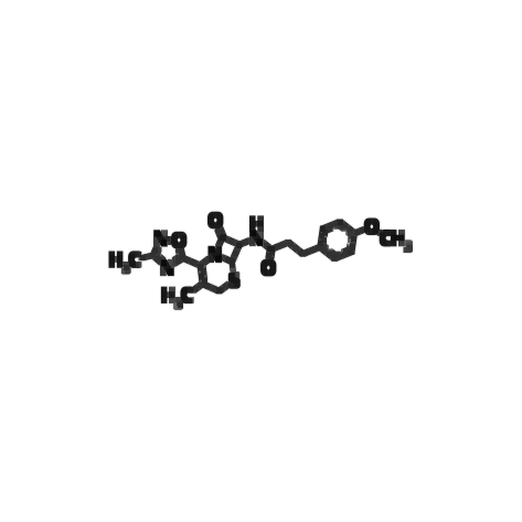 COc1ccc(CCC(=O)NC2C(=O)N3C(c4nc(C)no4)=C(C)CSC23)cc1